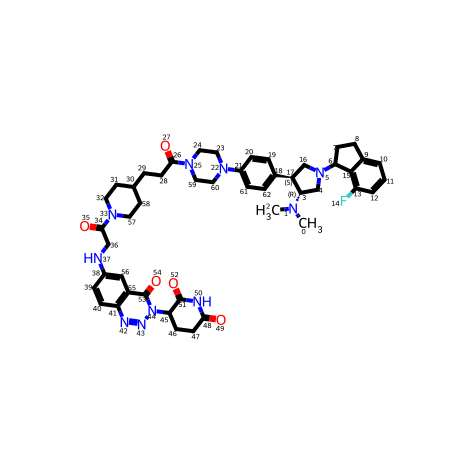 CN(C)[C@H]1CN(C2CCc3cccc(F)c32)C[C@@H]1c1ccc(N2CCN(C(=O)CCC3CCN(C(=O)CNc4ccc5nnn(C6CCC(=O)NC6=O)c(=O)c5c4)CC3)CC2)cc1